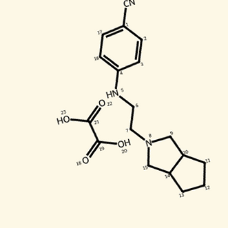 N#Cc1ccc(NCCN2CC3CCCC3C2)cc1.O=C(O)C(=O)O